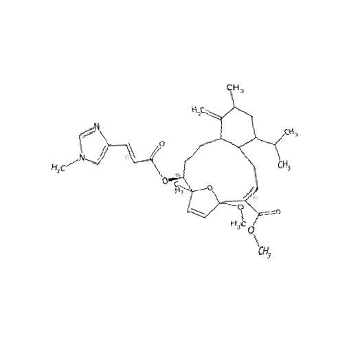 C=C1C(C)CC(C(C)C)C2C/C=C(/C(=O)OC)C3(OC)C=CC(C)(O3)[C@@H](OC(=O)/C=C/c3cn(C)cn3)CCC12